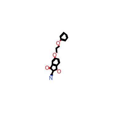 N#CC1C(=O)c2ccc(OCCCOc3ccccc3)cc2C1=O